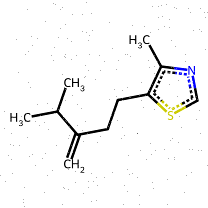 C=C(CCc1scnc1C)C(C)C